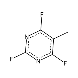 Cc1c(F)nc(F)nc1F